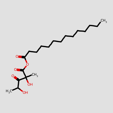 CCCCCCCCCCCCCC(=O)OC(=O)C(C)(O)C(=O)C(C)O